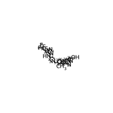 Cc1c(CN2CCC(Nc3ncnc4sc(CC(F)(F)F)cc34)CC2)ccc2c1cc(C#N)n2Cc1cc(O)n[nH]1